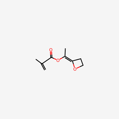 C=C(C)C(=O)OC(C)=C1CCO1